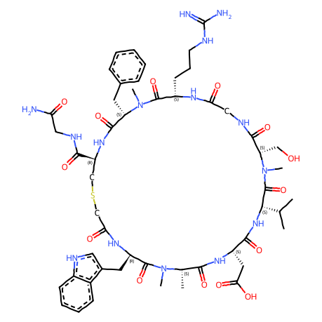 CC(C)[C@@H]1NC(=O)[C@H](CC(=O)O)NC(=O)[C@H](C)N(C)C(=O)[C@@H](Cc2c[nH]c3ccccc23)NC(=O)CSC[C@@H](C(=O)NCC(N)=O)NC(=O)[C@H](Cc2ccccc2)N(C)C(=O)[C@H](CCCNC(=N)N)NC(=O)CNC(=O)[C@H](CO)N(C)C1=O